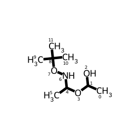 CC(O)OC(C)NOC(C)(C)C